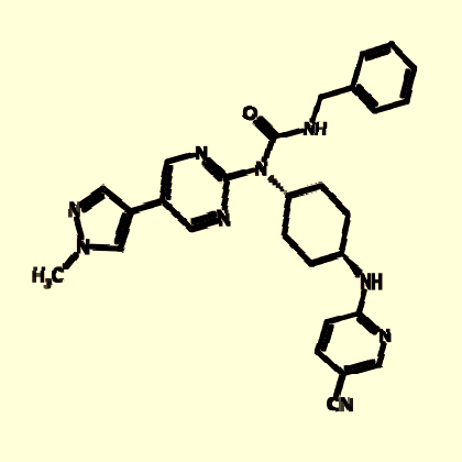 Cn1cc(-c2cnc(N(C(=O)NCc3ccccc3)[C@H]3CC[C@H](Nc4ccc(C#N)cn4)CC3)nc2)cn1